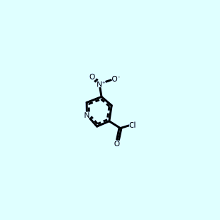 O=C(Cl)c1cncc([N+](=O)[O-])c1